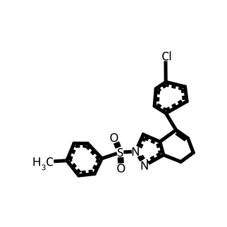 Cc1ccc(S(=O)(=O)n2cc3c(n2)CCC=C3c2ccc(Cl)cc2)cc1